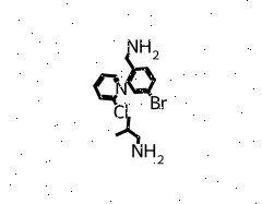 CC(C)CN.Clc1ccccn1.NCc1ccc(Br)cc1